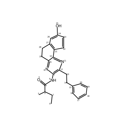 CCC(C)C(=O)Nc1nc2c(nc1CCc1ccccc1)-c1ccc(O)cc1CC2